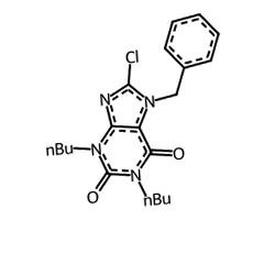 CCCCn1c(=O)c2c(nc(Cl)n2Cc2ccccc2)n(CCCC)c1=O